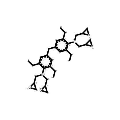 CCc1cc(Cc2cc(CC)c(N(CC3CO3)CC3CO3)c(CC)c2)cc(CC)c1N(CC1CO1)CC1CO1